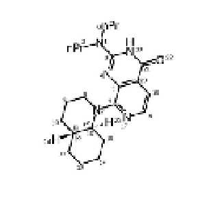 CCCN(CCC)c1nc2c(N3CCC[C@H]4CCCC[C@@H]43)nccc2c(=O)[nH]1